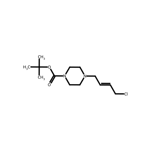 CC(C)(C)OC(=O)N1CCN(C/C=C/CCl)CC1